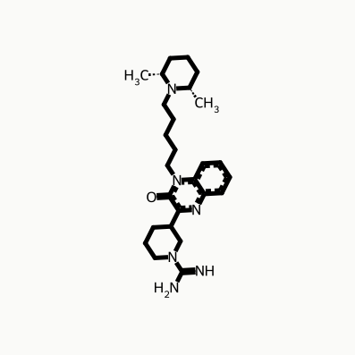 C[C@@H]1CCC[C@H](C)N1CCCCCn1c(=O)c(C2CCCN(C(=N)N)C2)nc2ccccc21